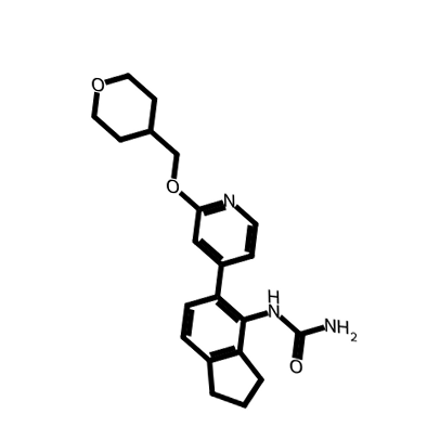 NC(=O)Nc1c(-c2ccnc(OCC3CCOCC3)c2)ccc2c1CCC2